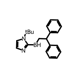 CC(C)(C)n1ccnc1BCC(c1ccccc1)c1ccccc1